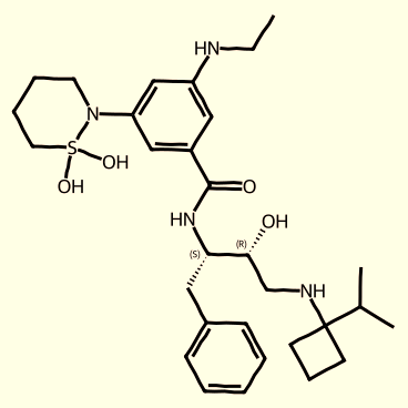 CCNc1cc(C(=O)N[C@@H](Cc2ccccc2)[C@H](O)CNC2(C(C)C)CCC2)cc(N2CCCCS2(O)O)c1